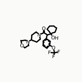 O=C(C(c1cccc(OC(F)(F)F)c1)C1(O)CCCCC1)N1CCC(N2CCOCC2)CC1